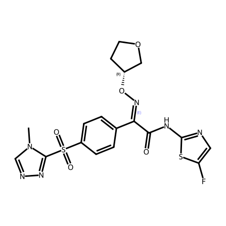 Cn1cnnc1S(=O)(=O)c1ccc(/C(=N\O[C@@H]2CCOC2)C(=O)Nc2ncc(F)s2)cc1